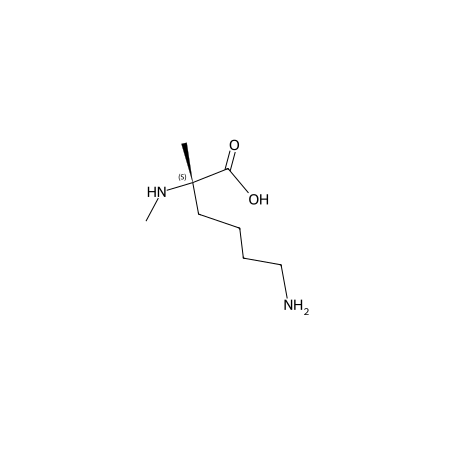 CN[C@@](C)(CCCCN)C(=O)O